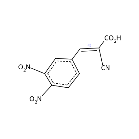 N#C/C(=C\c1ccc([N+](=O)[O-])c([N+](=O)[O-])c1)C(=O)O